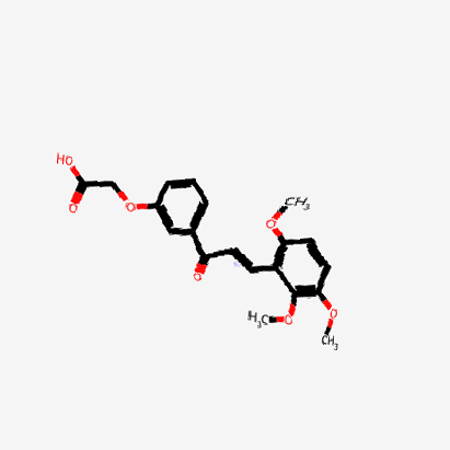 COc1ccc(OC)c(OC)c1/C=C/C(=O)c1cccc(OCC(=O)O)c1